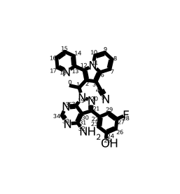 CC(c1c(C#N)c2ccccn2c1-c1ccccn1)n1nc(-c2cc(O)cc(F)c2)c2c(N)ncnc21